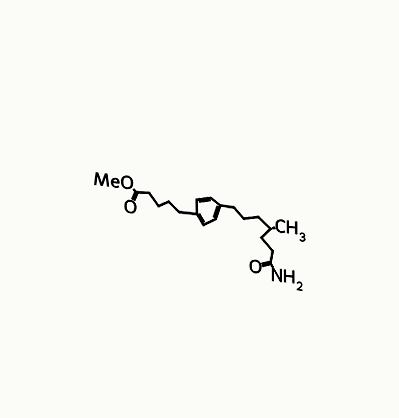 COC(=O)CCCCc1ccc(CCC[C@@H](C)CCC(N)=O)cc1